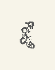 Cc1cccnc1[C@@H]1CCC[C@H]([C@]2(C)N=C3C=CC=C(N4CC5CCC(C4)N5C)N3C2Cl)N1C